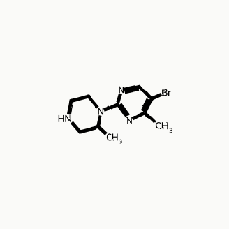 Cc1nc(N2CCNCC2C)ncc1Br